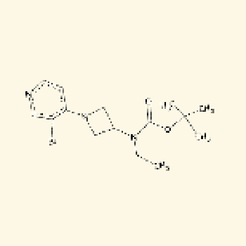 CCN(C(=O)OC(C)(C)C)C1CN(c2ccncc2Br)C1